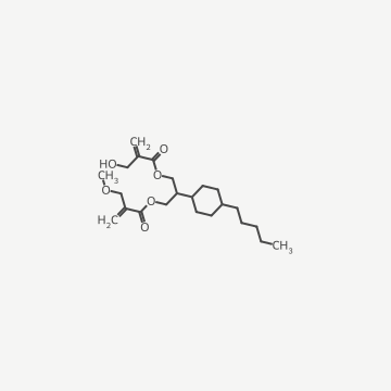 C=C(CO)C(=O)OCC(COC(=O)C(=C)COC)C1CCC(CCCCC)CC1